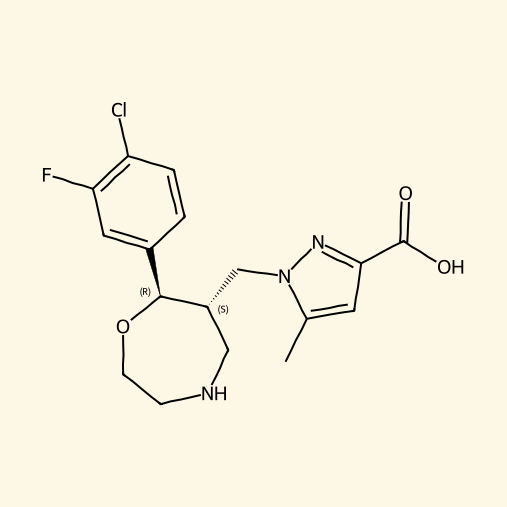 Cc1cc(C(=O)O)nn1C[C@@H]1CNCCO[C@H]1c1ccc(Cl)c(F)c1